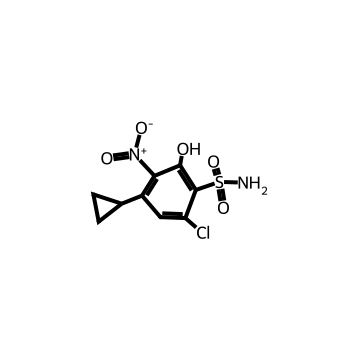 NS(=O)(=O)c1c(Cl)cc(C2CC2)c([N+](=O)[O-])c1O